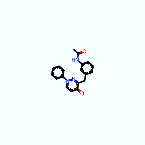 CC(=O)Nc1cccc(Cc2nn(-c3ccccc3)ccc2=O)c1